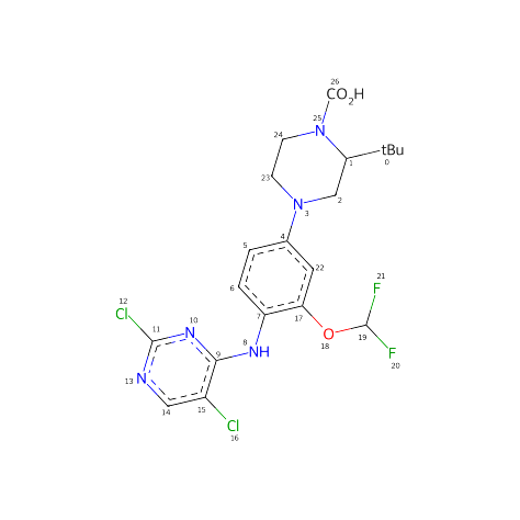 CC(C)(C)C1CN(c2ccc(Nc3nc(Cl)ncc3Cl)c(OC(F)F)c2)CCN1C(=O)O